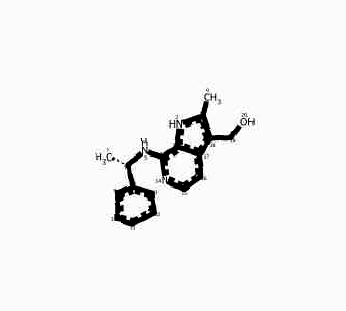 Cc1[nH]c2c(N[C@@H](C)c3ccccc3)nccc2c1CO